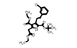 CCOC(=O)Cc1[nH]c(C(=O)OC(C)(C)C)c(CCc2cccc(Cl)c2)c1C(=O)OCC